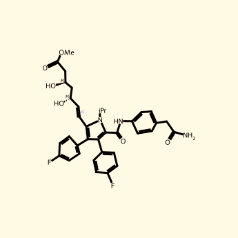 COC(=O)C[C@H](O)C[C@@H](O)/C=C/c1c(-c2ccc(F)cc2)c(-c2ccc(F)cc2)c(C(=O)Nc2ccc(CC(N)=O)cc2)n1C(C)C